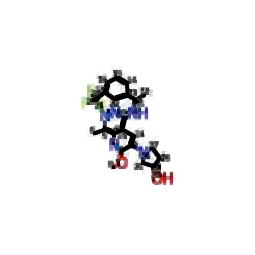 COc1nc2c(C)nnc(N[C@H](C)c3cccc(C(F)(F)F)c3)c2cc1N1CC[C@H](O)C1